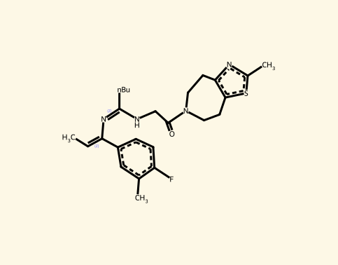 C/C=C(\N=C(\CCCC)NCC(=O)N1CCc2nc(C)sc2CC1)c1ccc(F)c(C)c1